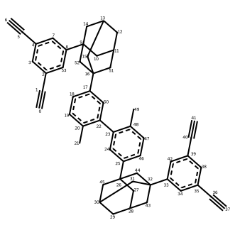 C#Cc1cc(C#C)cc(C23CC4CC(C2)CC(c2ccc(C)c(-c5cc(C67CC8CC(CC(c9cc(C#C)cc(C#C)c9)(C8)C6)C7)ccc5C)c2)(C4)C3)c1